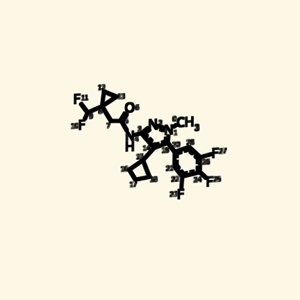 Cn1nc(NC(=O)CC2(C(F)F)CC2)c(C2CCC2)c1-c1cc(F)c(F)c(F)c1